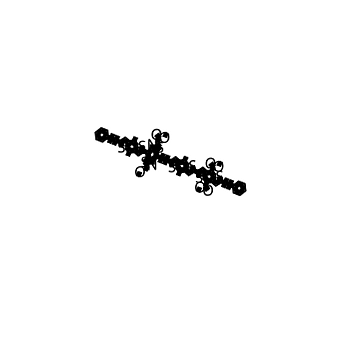 COCc1nc2c(C(C)(C)C(C)(C)c3cc4c(C)c5sc(-c6cc7c(C(=O)OC)c8sc(C(C)(C)C(C)(C)c9ccccc9)cc8c(C(=O)OC)c7s6)cc5c(C)c4s3)c3sc(C(=O)OC)nc3c(-c3cc4c(C)c5sc(C(C)(C)C(C)(C)c6ccccc6)cc5c(C)c4s3)c2s1